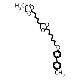 [CH2-][C+]1COC(CCCCC2COC(CCCCCCOc3ccc(-c4ccc(C)cc4)cc3)OC2)OC1